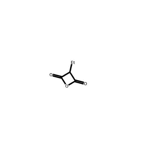 CCC1C(=O)OC1=O